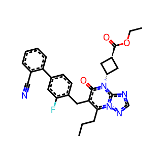 CCCc1c(Cc2ccc(-c3ccccc3C#N)cc2F)c(=O)n([C@H]2C[C@H](C(=O)OCC)C2)c2ncnn12